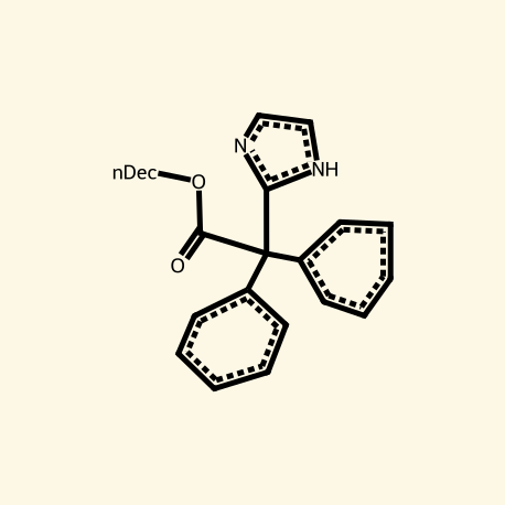 CCCCCCCCCCOC(=O)C(c1ccccc1)(c1ccccc1)c1ncc[nH]1